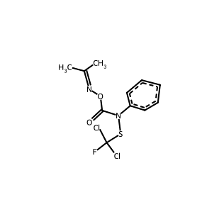 CC(C)=NOC(=O)N(SC(F)(Cl)Cl)c1ccccc1